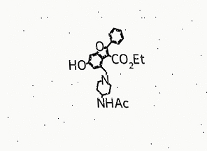 CCOC(=O)c1c(-c2ccccc2)oc2cc(O)cc(CN3CCC(NC(C)=O)CC3)c12